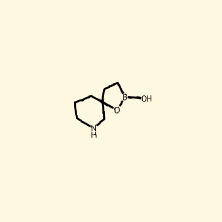 OB1CCC2(CCCNC2)O1